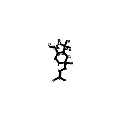 CC(C)=CCC1(C)CCC2C(C1)C(C)(C)ON2C